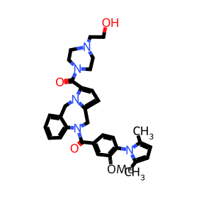 COc1cc(C(=O)N2Cc3ccc(C(=O)N4CCN(CCO)CC4)n3Cc3ccccc32)ccc1-n1c(C)ccc1C